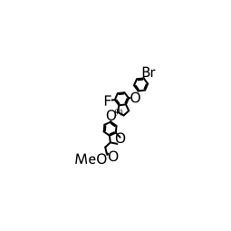 COC(=O)CC1COc2cc(O[C@@H]3CCc4c(Oc5ccc(Br)cc5)ccc(F)c43)ccc21